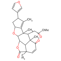 COC(=O)CC1C2(C)C3=C(C)C(c4ccoc4)CC3OC2C2OC(=O)C3(C)C=CC(=O)C1(C)C23